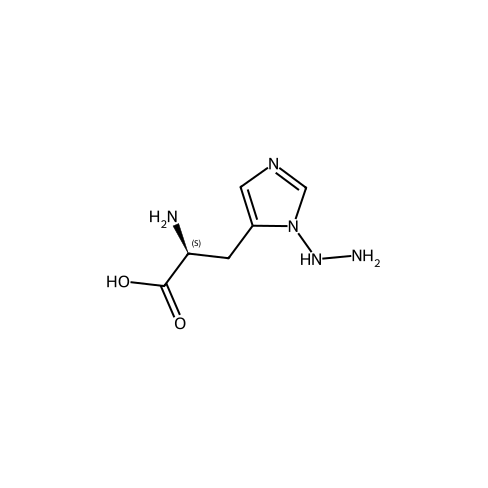 NNn1cncc1C[C@H](N)C(=O)O